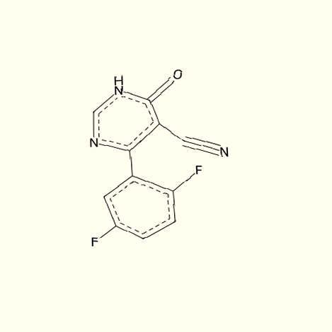 N#Cc1c(-c2cc(F)ccc2F)nc[nH]c1=O